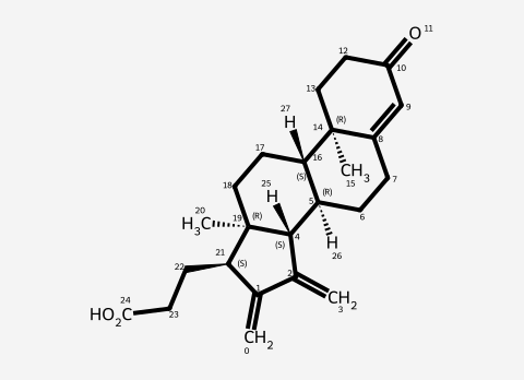 C=C1C(=C)[C@H]2[C@@H]3CCC4=CC(=O)CC[C@]4(C)[C@H]3CC[C@]2(C)[C@@H]1CCC(=O)O